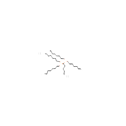 CCCCCCCCP(CCCCCCCC)C(CCCCC)P(CCCCCCCC)CCCCCCCC